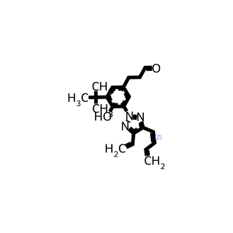 C=C/C=C\c1nn(-c2cc(CCC=O)cc(C(C)(C)C)c2O)nc1C=C